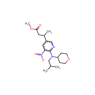 COC(=O)CC(C)c1cnc(N(CC(C)C)C2CCOCC2)c([N+](=O)[O-])c1